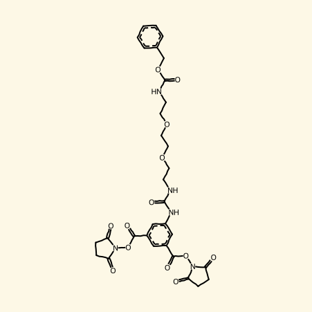 O=C(NCCOCCOCCNC(=O)OCc1ccccc1)Nc1cc(C(=O)ON2C(=O)CCC2=O)cc(C(=O)ON2C(=O)CCC2=O)c1